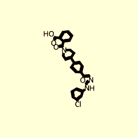 O=C(O)c1ccccc1C(=O)N1CC=C(c2ccc(-c3cnc(Nc4cccc(Cl)c4)o3)cc2)CC1